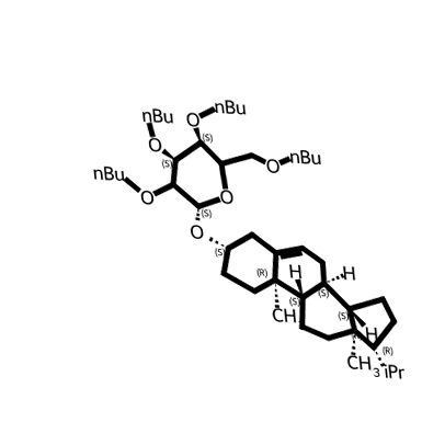 CCCCOCC1O[C@H](O[C@H]2CC[C@@]3(C)C(=CC[C@H]4[C@@H]5CC[C@H](C(C)C)[C@@]5(C)CC[C@@H]43)C2)C(OCCCC)[C@@H](OCCCC)[C@H]1OCCCC